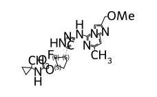 COCc1cn2c(Nc3cc([C@@H]4CC[C@H](OC(=O)NC5(C)CC5)[C@@H]4F)[nH]n3)nc(C)cc2n1